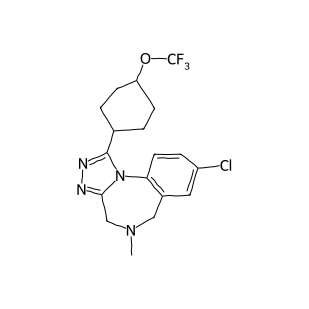 CN1Cc2cc(Cl)ccc2-n2c(nnc2C2CCC(OC(F)(F)F)CC2)C1